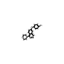 Fc1ccc(Oc2ccc3c(N4CCOCC4)nncc3c2)cc1